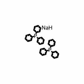 [NaH].c1ccc(P(c2ccccc2)c2ccccc2)cc1.c1ccc(P(c2ccccc2)c2ccccc2)cc1